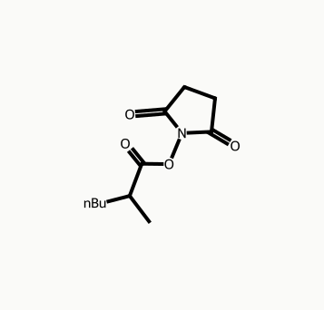 CCCCC(C)C(=O)ON1C(=O)CCC1=O